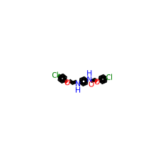 O=C(COc1ccc(Cl)cc1)N[C@H]1CC[C@@H](NCCCOc2ccc(Cl)cc2)CC1